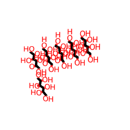 O=C(CO)C(O)C(O)C(O)CO.O=C(CO)C(O)C(O)C(O)CO.O=C(CO)C(O)C(O)C(O)CO.OCC(O)C(O)C(O)C(O)CO.OCC(O)C(O)C(O)C(O)CO.OCC(O)C(O)C(O)C(O)CO